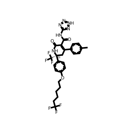 Cc1ccc(C2=C(C(=O)Nc3nn[nH]n3)C(=O)N[C@@](c3ccc(OCCCCCC(F)(F)F)cc3)(C(F)(F)F)C2)cc1